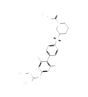 CSC(NC#N)Nc1cc(Cl)c(-c2ccc(S(=O)(=O)C3CCCN(C(=O)OC(C)(C)C)C3)cc2)c(C(F)(F)F)c1